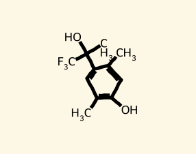 Cc1cc(C(C)(O)C(F)(F)F)c(C)cc1O